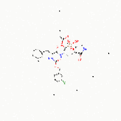 CC(=O)OC(C(C[C@@H]1CCNC1=O)NC(=O)C(CC1CCCCC1)NC(=O)OCc1cccc(Cl)c1)S(=O)(=O)O